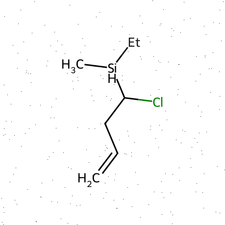 C=CCC(Cl)[SiH](C)CC